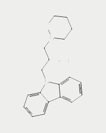 O[C@@H](CN1CCCCS1)Cn1c2ccccc2c2ccccc21